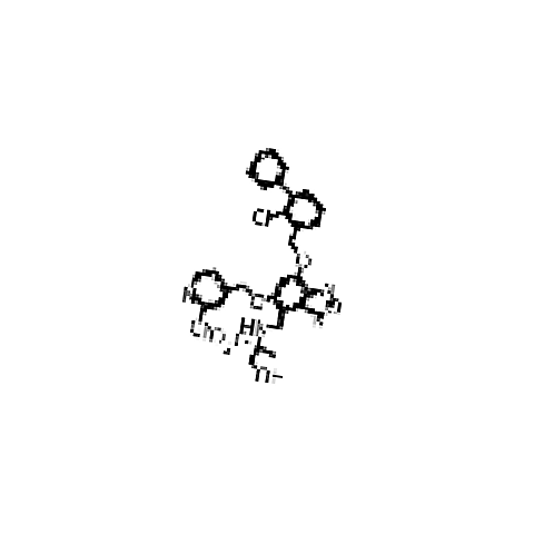 C[C@@](CO)(NCc1c(OCc2ccnc(C#N)c2)cc(OCc2cccc(-c3ccccc3)c2Cl)c2nonc12)C(=O)O